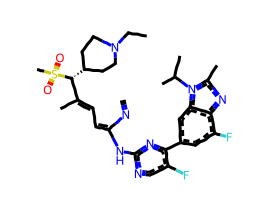 C=N/C(=C\C=C(/C)[C@@H](C1CCN(CC)CC1)S(C)(=O)=O)Nc1ncc(F)c(-c2cc(F)c3nc(C)n(C(C)C)c3c2)n1